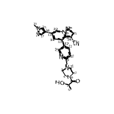 CC(O)C(=O)N1CCN(c2ccc(-c3cc(-c4cnn(C)c4)cn4ncc(C#N)c34)cn2)CC1